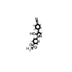 N#Cc1ccc(-c2cnn(-c3ccc(S(N)(=O)=O)cn3)c2O)cc1